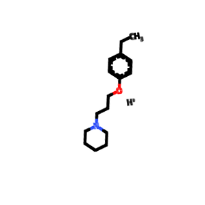 CCc1ccc(OCCCN2CCCCC2)cc1.[H+]